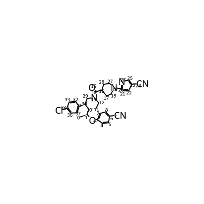 C[C@H](Oc1ccc(C#N)cc1)[C@H]1CCN(C(=O)C2CCN(c3ccc(C#N)cn3)CC2)C[C@@H]1c1ccc(Cl)cc1